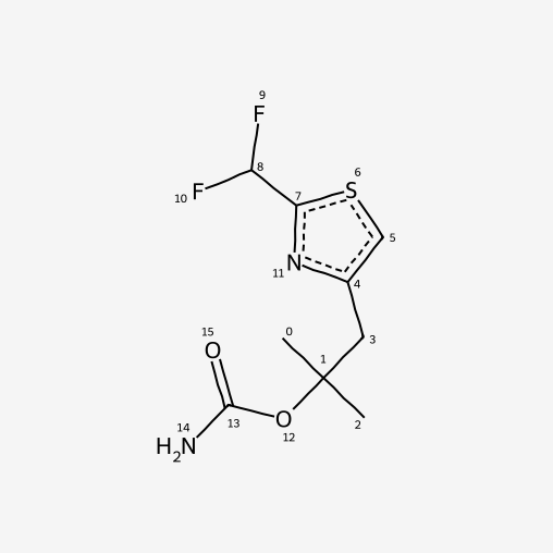 CC(C)(Cc1csc(C(F)F)n1)OC(N)=O